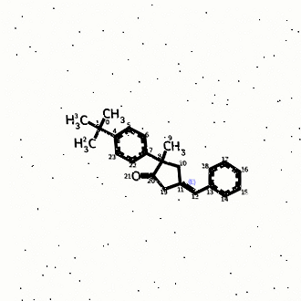 CC(C)(C)c1ccc(C2(C)C/C(=C\c3ccccc3)CC2=O)cc1